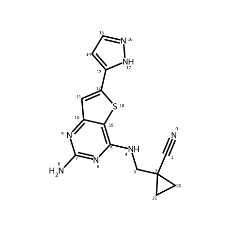 N#CC1(CNc2nc(N)nc3cc(-c4ccn[nH]4)sc23)CC1